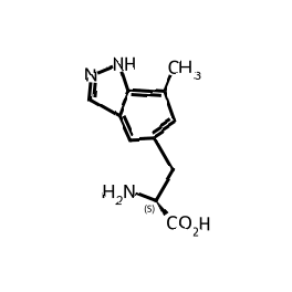 Cc1cc(C[C@H](N)C(=O)O)cc2cn[nH]c12